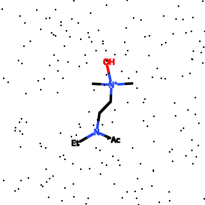 CCN(CC[N+](C)(C)O)C(C)=O